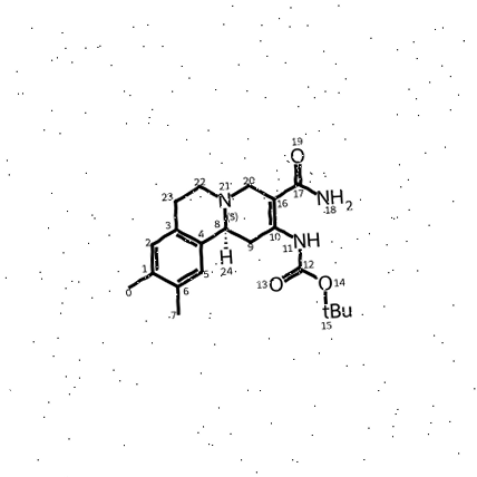 Cc1cc2c(cc1C)[C@@H]1CC(NC(=O)OC(C)(C)C)=C(C(N)=O)CN1CC2